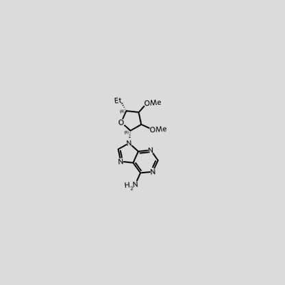 CC[C@H]1O[C@@H](n2cnc3c(N)ncnc32)C(OC)C1OC